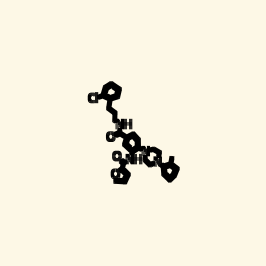 Cc1ccccc1N1CCN(c2ccc(C(=O)NCCCc3ccccc3Cl)cc2NC(=O)c2ccco2)CC1